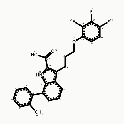 Cc1ccccc1-c1cccc2c(CCCOc3ccc(F)c(F)c3F)c(C(=O)O)[nH]c12